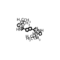 CC(C)(C)OC(=O)N[C@H]1CCC[C@@H]1Nc1ncc(-c2ccc3cc(-c4c[nH]c([C@@H]5CCCN5C(=O)OC(C)(C)C)n4)ccc3c2)cn1